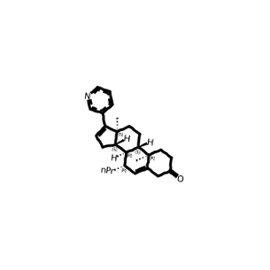 CCC[C@H]1C=C2CC(=O)CC[C@]2(C)[C@H]2CC[C@]3(C)C(c4cccnc4)=CC[C@H]3[C@H]12